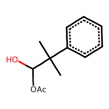 CC(=O)OC(O)C(C)(C)c1ccccc1